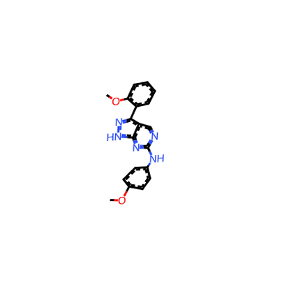 COc1ccc(Nc2ncc3c(-c4ccccc4OC)n[nH]c3n2)cc1